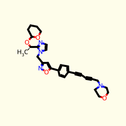 C[C@H](OC1CCCCO1)c1nccn1Cc1cc(-c2ccc(C#CC#CCN3CCOCC3)cc2)on1